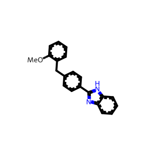 COc1ccccc1Cc1ccc(-c2nc3ccccc3[nH]2)cc1